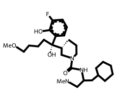 CNCC(CC1CCCCC1)NC(=O)N1CCC[C@@H]([C@@](O)(CCCCOC)c2cccc(F)c2O)C1